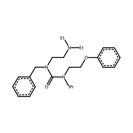 CCN(CC)CCN(Cc1ccccc1)C(=O)N(CCOc1ccccc1)C(C)C